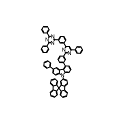 c1ccc(-c2ccc3c(c2)c2c(-c4cccc(-c5nc(-c6ccccc6)cc(-c6cccc(-c7nc(-c8ccccc8)nc(-c8ccccc8)n7)c6)n5)c4)cccc2n3-c2ccc3c(c2)C2(c4ccccc4-c4ccccc42)c2ccccc2-3)cc1